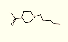 [CH2]C(=O)N1CCN(CCCCC)CC1